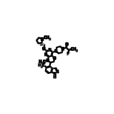 C=C(F)C(=O)N1CCN(c2nc(OC[C@@H]3CCCN3C)nc3c2OCC(c2c(C)ccc4[nH]ncc24)N3C)CC1